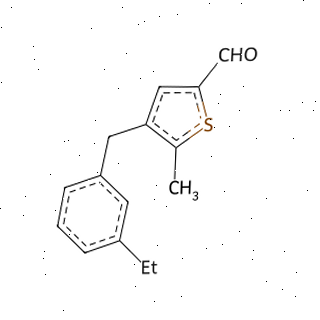 CCc1cccc(Cc2cc(C=O)sc2C)c1